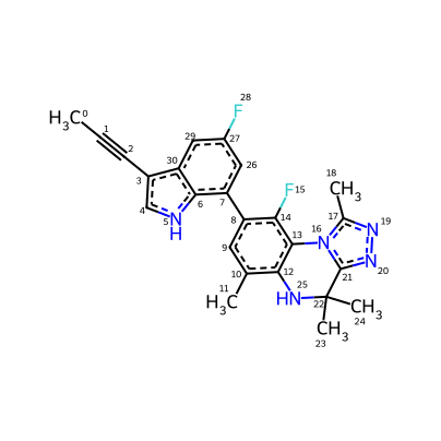 CC#Cc1c[nH]c2c(-c3cc(C)c4c(c3F)-n3c(C)nnc3C(C)(C)N4)cc(F)cc12